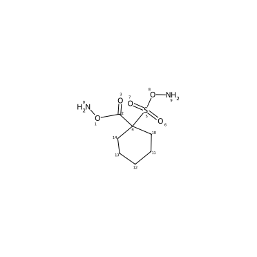 NOC(=O)C1(S(=O)(=O)ON)CCCCC1